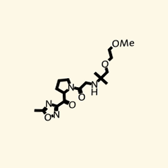 COCCOCC(C)(C)NCC(=O)N1CCCC1C(=O)c1noc(C)n1